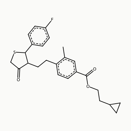 Cc1cc(C(=O)OCCC2CC2)ccc1CCC1C(=O)CSC1c1ccc(F)cc1